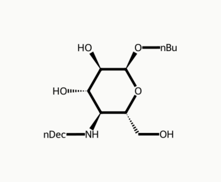 CCCCCCCCCCN[C@H]1[C@H](O)[C@@H](O)[C@@H](OCCCC)O[C@@H]1CO